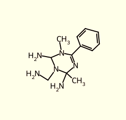 CN1C(c2ccccc2)=NC(C)(N)N(CN)C1N